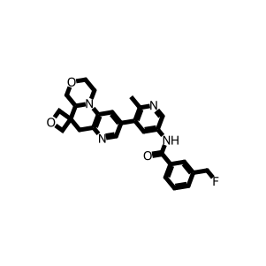 Cc1ncc(NC(=O)c2cccc(CF)c2)cc1-c1cnc2c(c1)N1CCOCC1C1(COC1)C2